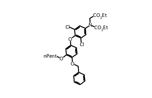 CCCCCOc1cc(Oc2c(Cl)cc(N(CC(=O)OCC)C(=O)OCC)cc2Cl)ccc1OCc1ccccc1